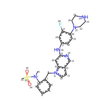 CN(c1ccccc1Cn1ccc2cnc(Nc3ccc(N4CCNCC4)c(F)c3)cc21)S(C)(=O)=O